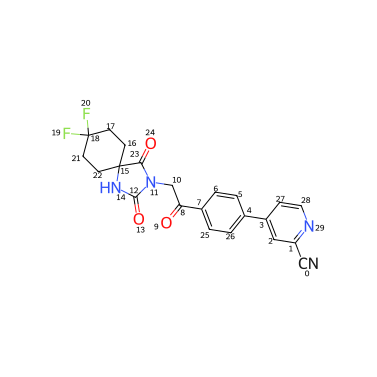 N#Cc1cc(-c2ccc(C(=O)CN3C(=O)NC4(CCC(F)(F)CC4)C3=O)cc2)ccn1